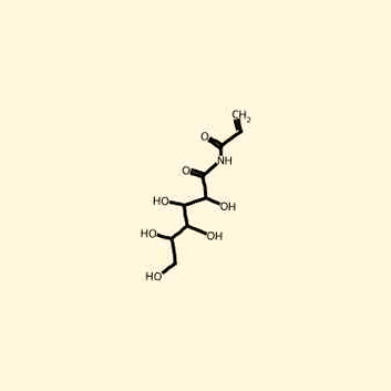 C=CC(=O)NC(=O)C(O)C(O)C(O)C(O)CO